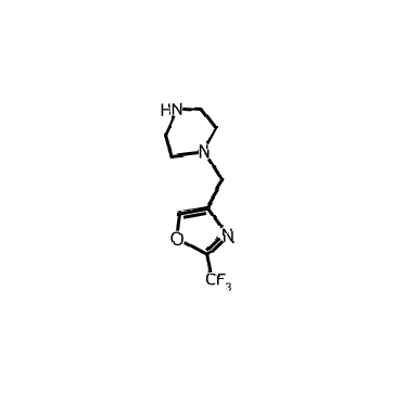 FC(F)(F)c1nc(CN2CCNCC2)co1